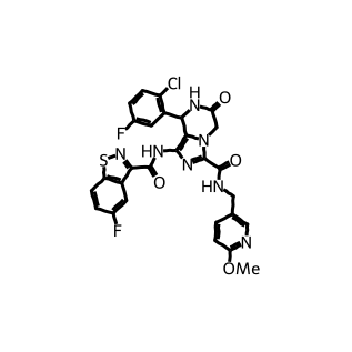 COc1ccc(CNC(=O)c2nc(NC(=O)c3nsc4ccc(F)cc34)c3n2CC(=O)NC3c2cc(F)ccc2Cl)cn1